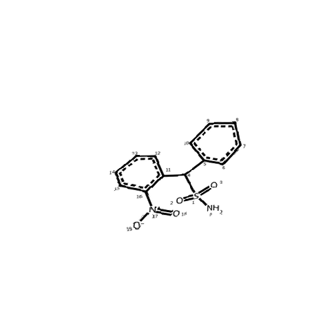 NS(=O)(=O)C(c1ccccc1)c1ccccc1[N+](=O)[O-]